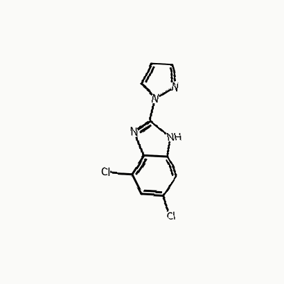 Clc1cc(Cl)c2nc(-n3cccn3)[nH]c2c1